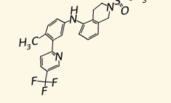 Cc1ccc(Nc2cccc3c2CCN(S(C)(=O)=O)C3)cc1-c1ccc(C(F)(F)F)cn1